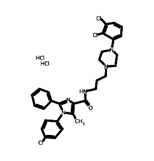 Cc1c(C(=O)NCCCN2CCN(c3cccc(Cl)c3Cl)CC2)nc(-c2ccccc2)n1-c1ccc(Cl)cc1.Cl.Cl